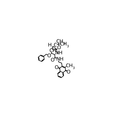 CC1=C(CCNC(=O)[C@@H](NC(=O)OC(C)(C)C)C(C)OCc2ccccc2)C(=O)c2ccccc2C1=O